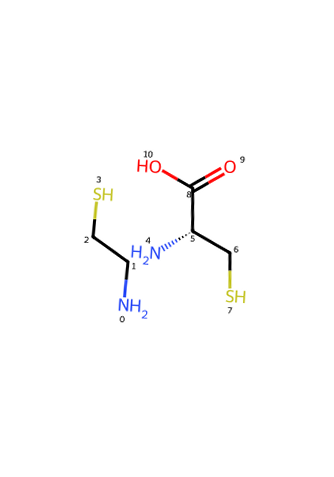 NCCS.N[C@@H](CS)C(=O)O